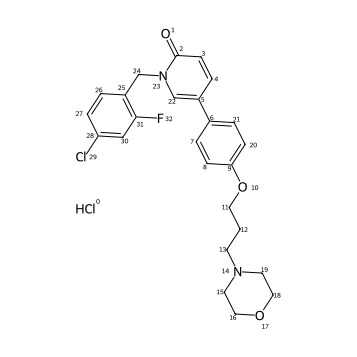 Cl.O=c1ccc(-c2ccc(OCCCN3CCOCC3)cc2)cn1Cc1ccc(Cl)cc1F